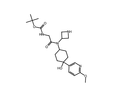 COc1ccc(C2(O)CCC(N(C(=O)CNC(=O)OC(C)(C)C)C3CNC3)CC2)cn1